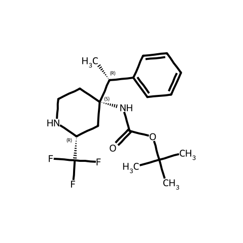 C[C@H](c1ccccc1)[C@]1(NC(=O)OC(C)(C)C)CCN[C@@H](C(F)(F)F)C1